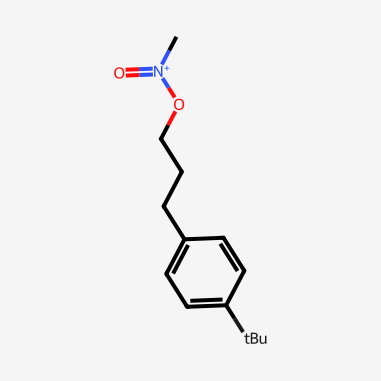 C[N+](=O)OCCCc1ccc(C(C)(C)C)cc1